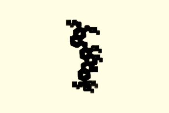 COc1cc2nccc(Oc3ccc(N(Cc4ccc(C(C)(C)C)cc4)C(=O)O)c(C)c3C)c2cc1OC